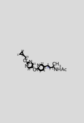 CC(=O)N[C@@H](C)/C=C/c1ccc(Oc2cnc(OCC3CC3)nc2)nc1